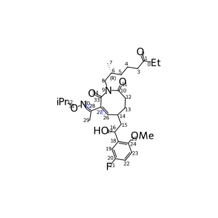 CCC(=O)CCC[C@@H](C)CN1C(=O)CCC(CC(O)c2cc(F)ccc2OC)/C=C(/C(C)=N/OC(C)C)C1=O